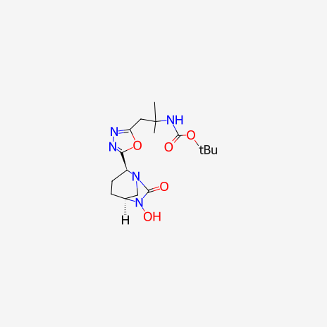 CC(C)(Cc1nnc([C@@H]2CC[C@H]3CN2C(=O)N3O)o1)NC(=O)OC(C)(C)C